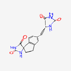 O=C1NC(=O)[C@H](C#Cc2ccc3c(c2)CCC32NC(=O)NC2=O)N1